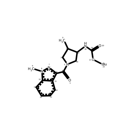 CC1CN(C(=O)c2nn(C)c3ccccc23)CC1NC(=O)OC(C)(C)C